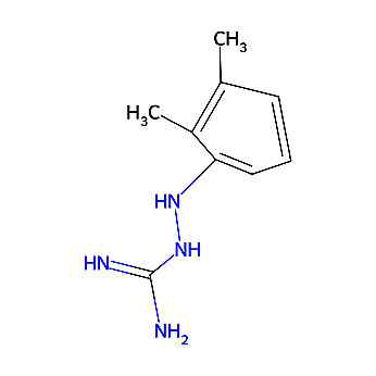 Cc1cccc(NNC(=N)N)c1C